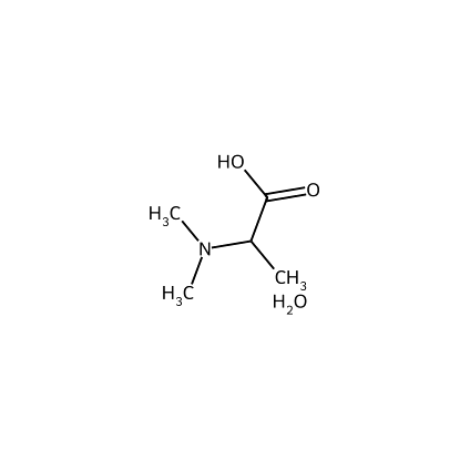 CC(C(=O)O)N(C)C.O